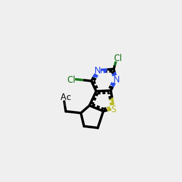 CC(=O)CC1CCc2sc3nc(Cl)nc(Cl)c3c21